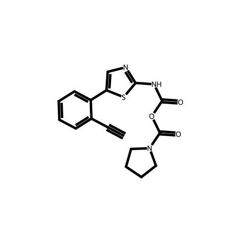 C#Cc1ccccc1-c1cnc(NC(=O)OC(=O)N2CCCC2)s1